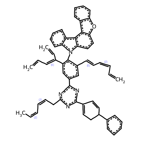 C=C/C=C\C=C\c1cc(-c2nc(C/C=C\C=C/C)nc(C3=CCC(c4ccccc4)C=C3)n2)cc(/C(C=C)=C/C=C)c1-n1c2ccccc2c2c3c(ccc21)oc1ccccc13